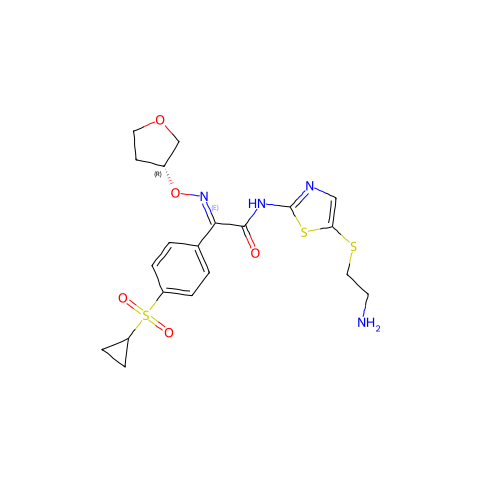 NCCSc1cnc(NC(=O)/C(=N/O[C@@H]2CCOC2)c2ccc(S(=O)(=O)C3CC3)cc2)s1